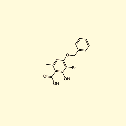 Cc1cc(OCc2ccccc2)c(Br)c(O)c1C(=O)O